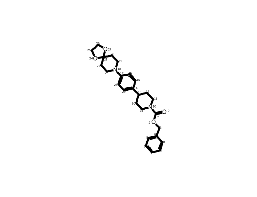 O=C(OCc1ccccc1)N1CCC(c2ccc(N3CCC4(CC3)OCCO4)cc2)CC1